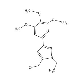 CCn1nc(-c2cc(OC)c(OC)c(OC)c2)cc1CCl